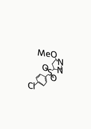 COC1=NC=NC(S(=O)(=O)c2ccc(Cl)cc2)C1